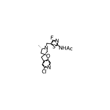 CC(=O)Nc1nc(F)c(CN2C[C@@]3(Cc4cc(Cl)ncc4O3)C[C@@H]2C)s1